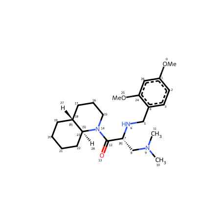 COc1ccc(CN[C@H](CN(C)C)C(=O)N2CCC[C@H]3CCCC[C@@H]32)c(OC)c1